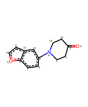 O=C1CCN(c2ccc3occc3c2)CC1